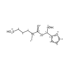 CCCCCCCCCCC(OC(=O)N(I)CCCS(=O)(=O)O)c1ccco1